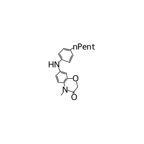 CCCCCc1ccc(Nc2ccc3c(c2)OCC(=O)N3C)cc1